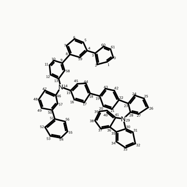 c1ccc(-c2cccc(-c3cccc(N(c4ccc(-c5ccc(-c6ccccc6-n6c7ccccc7c7ccccc76)cc5)cc4)c4cccc(-c5ccccc5)c4)c3)c2)cc1